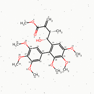 C=C(C(=O)OC)[C@H](C)[C@@H](O)c1cc(OC)c(OC)c(OC)c1-c1cc(OC)c(OC)c(OC)c1